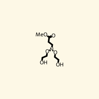 COC(=O)CCN(OCCO)OCCO